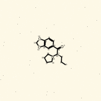 CCC[C@H](C(=O)c1ccc2c(c1)OCO2)N1CCCC1